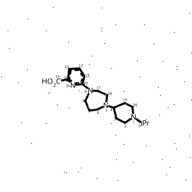 CC(C)N1CCC(N2CCCN(c3cccc(C(=O)O)n3)CC2)CC1